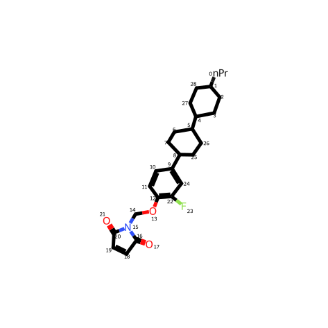 CCCC1CCC(C2CCC(c3ccc(OCN4C(=O)C=CC4=O)c(F)c3)CC2)CC1